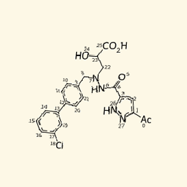 CC(=O)c1cc(C(=O)NN(Cc2ccc(-c3cccc(Cl)c3)cc2)CC(O)C(=O)O)[nH]n1